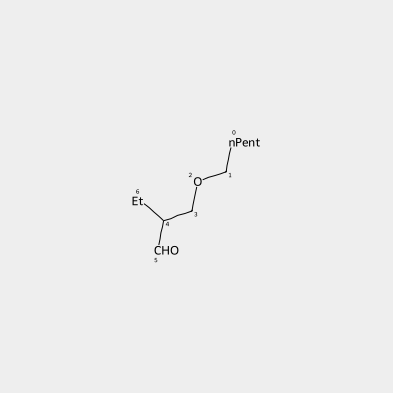 CCCCCCOCC(C=O)CC